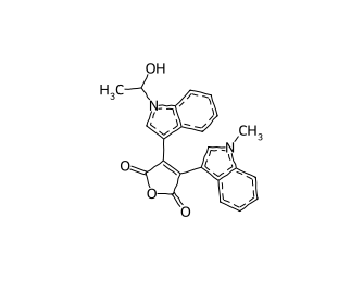 CC(O)n1cc(C2=C(c3cn(C)c4ccccc34)C(=O)OC2=O)c2ccccc21